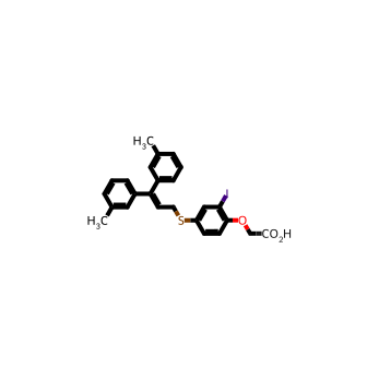 Cc1cccc(C(=CCSc2ccc(OCC(=O)O)c(I)c2)c2cccc(C)c2)c1